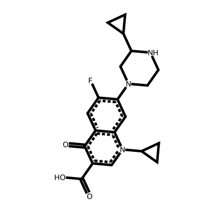 O=C(O)c1cn(C2CC2)c2cc(N3CCNC(C4CC4)C3)c(F)cc2c1=O